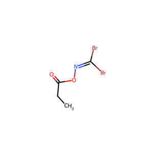 CCC(=O)ON=C(Br)Br